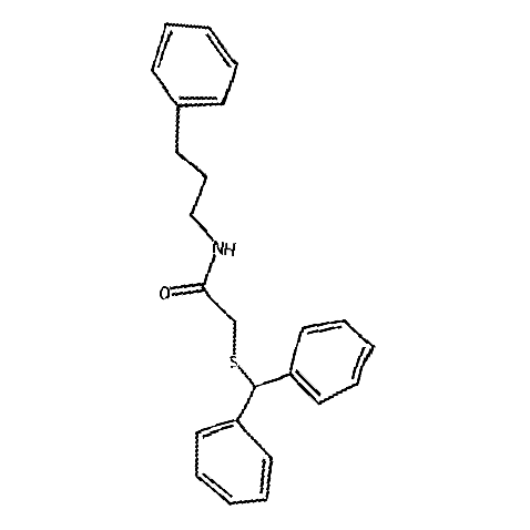 O=C(CSC(c1ccccc1)c1ccccc1)NCCCc1ccccc1